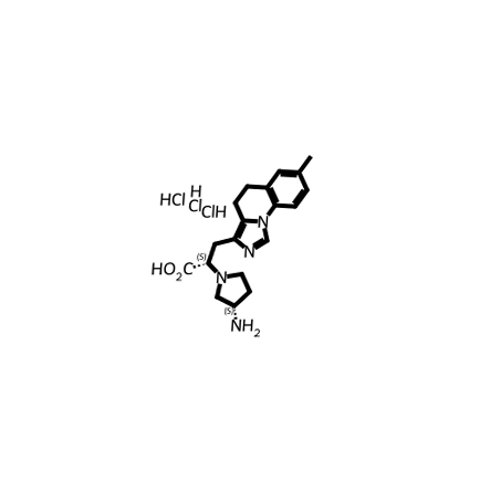 Cc1ccc2c(c1)CCc1c(C[C@@H](C(=O)O)N3CC[C@H](N)C3)ncn1-2.Cl.Cl.Cl